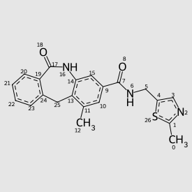 Cc1ncc(CNC(=O)c2cc(C)c3c(c2)NC(=O)c2ccccc2C3)s1